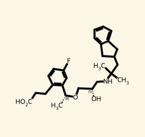 C[C@@H](OC[C@@H](O)CNC(C)(C)CC1Cc2ccccc2C1)c1cc(F)ccc1CCC(=O)O